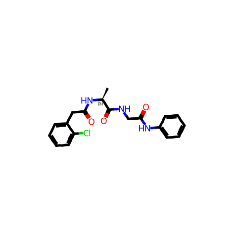 C[C@H](NC(=O)Cc1ccccc1Cl)C(=O)NCC(=O)Nc1ccccc1